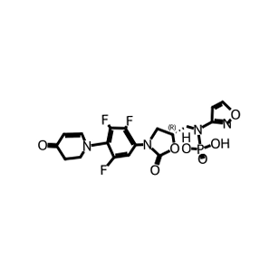 O=C1C=CN(c2c(F)cc(N3C[C@H](CN(c4ccon4)P(=O)(O)O)OC3=O)c(F)c2F)CC1